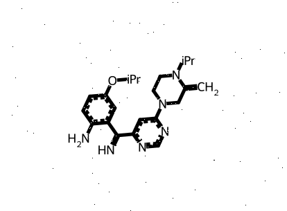 C=C1CN(c2cc(C(=N)c3cc(OC(C)C)ccc3N)ncn2)CCN1C(C)C